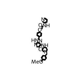 COc1ccc(CN2CCC(Nc3c(Cl)cnc4[nH]c(-c5ccc(OCC(=O)Nc6cccnc6)cc5)nc34)CC2)cc1